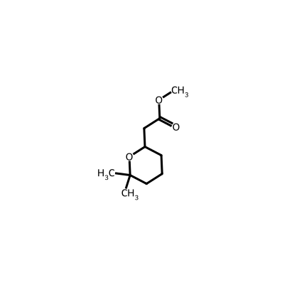 COC(=O)CC1CCCC(C)(C)O1